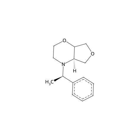 C[C@H](c1ccccc1)N1CCOC2COC[C@H]21